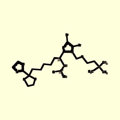 CC(C)(C)[S@@+]([O-])N[C@@H](CCCCCC1(c2ncco2)OCCO1)c1nc(Br)c(Br)n1COCC[Si](C)(C)C